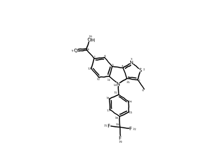 Cc1snc2c3cc(C(=O)O)ccc3n(-c3ccc(C(F)(F)F)cc3)c12